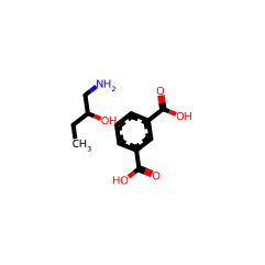 CCC(O)CN.O=C(O)c1cccc(C(=O)O)c1